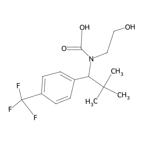 CC(C)(C)C(c1ccc(C(F)(F)F)cc1)N(CCO)C(=O)O